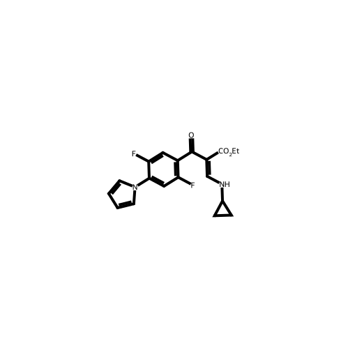 CCOC(=O)C(=CNC1CC1)C(=O)c1cc(F)c(-n2cccc2)cc1F